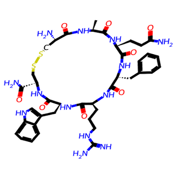 C[C@@H]1NC(=O)[C@@H](N)CSSC[C@@H](C(N)=O)NC(=O)[C@H](Cc2c[nH]c3ccccc23)NC(=O)[C@H](CCCNC(=N)N)NC(=O)[C@@H](Cc2ccccc2)NC(=O)[C@H](CCC(N)=O)NC1=O